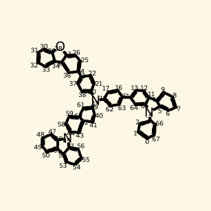 c1ccc(-n2c3ccccc3c3ccc(-c4ccc(N(c5ccc(-c6ccc7oc8ccccc8c7c6)cc5)c5ccc6cc(-n7c8ccccc8c8ccccc87)ccc6c5)cc4)cc32)cc1